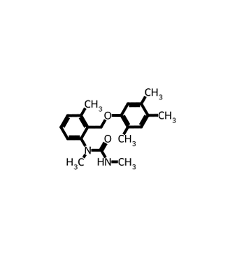 CNC(=O)N(C)c1cccc(C)c1COc1cc(C)c(C)cc1C